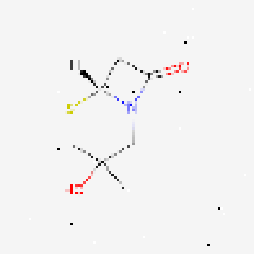 CC1(O)CS[C@@H]2CC(=O)N2C1